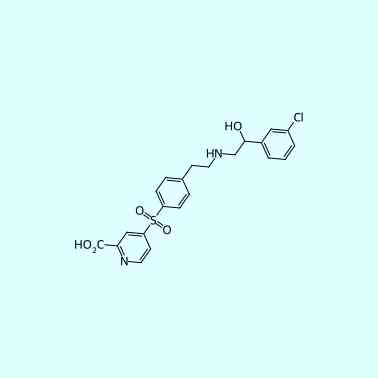 O=C(O)c1cc(S(=O)(=O)c2ccc(CCNCC(O)c3cccc(Cl)c3)cc2)ccn1